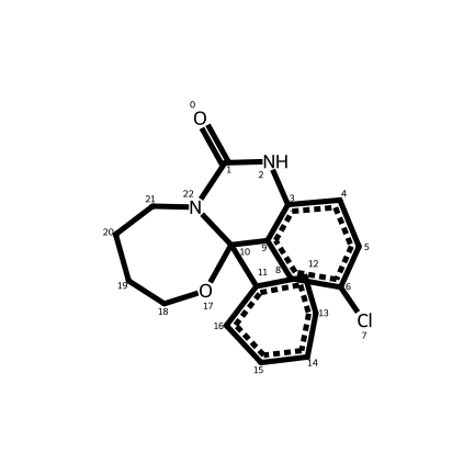 O=C1Nc2ccc(Cl)cc2C2(c3ccccc3)OCCCCN12